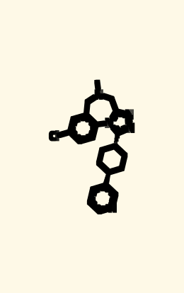 CN1Cc2cc(Cl)ccc2-n2c(nnc2[C@H]2CC[C@H](c3cccnc3)CC2)C1